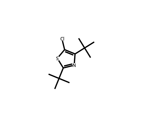 CC(C)(C)c1nc(C(C)(C)C)c(Cl)s1